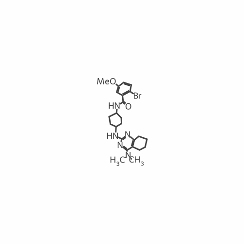 COc1ccc(Br)c(C(=O)NC2CCC(Nc3nc4c(c(N(C)C)n3)CCCC4)CC2)c1